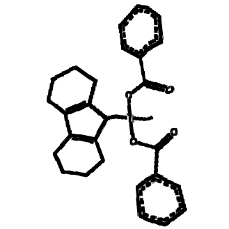 [CH3][Ti]([O]C(=O)c1ccccc1)([O]C(=O)c1ccccc1)[CH]1C2=C(CCCC2)C2=C1CCCC2